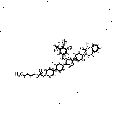 CCCCCOC(=O)CN1CCC(C2CCN(C(=O)[C@@H](Cc3cc(Cl)c(N)c(C(F)(F)F)c3)OC(=O)N3CCC(N4CCc5ccccc5NC4=O)CC3)CC2)CC1